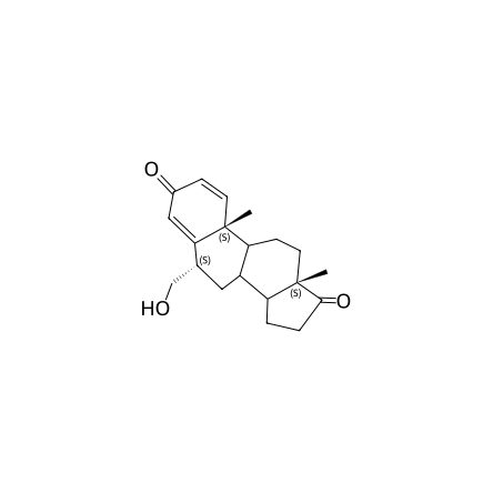 C[C@]12C=CC(=O)C=C1[C@@H](CO)CC1C2CC[C@]2(C)C(=O)CCC12